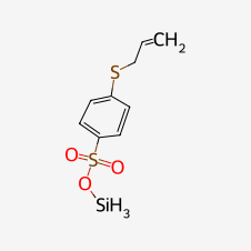 C=CCSc1ccc(S(=O)(=O)O[SiH3])cc1